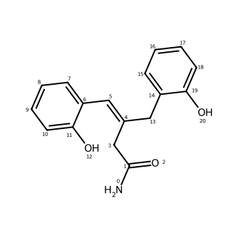 NC(=O)CC(=Cc1ccccc1O)Cc1ccccc1O